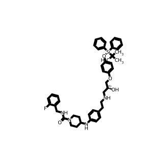 CC(C)(C)[Si](Oc1ccc(OC[C@@H](O)CNCCc2ccc(NC3CCN(C(=O)NCc4ccccc4F)CC3)cc2)cc1)(c1ccccc1)c1ccccc1